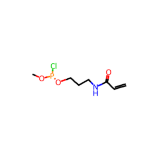 C=CC(=O)NCCCOP(Cl)OC